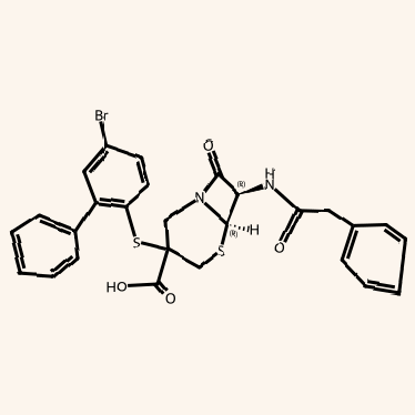 O=C(Cc1ccccc1)N[C@@H]1C(=O)N2CC(Sc3ccc(Br)cc3-c3ccccc3)(C(=O)O)CS[C@H]12